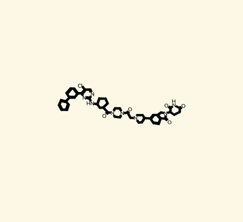 O=C1CCC(N2Cc3cc(C4CCN(CC(=O)N5CCN(C(=O)C6CCCC(Nc7ncc(Cl)c(-c8cccc(-c9ccccc9)c8)n7)C6)CC5)CC4)ccc3C2=O)C(=O)N1